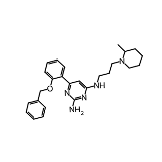 CC1CCCCN1CCCNc1cc(-c2c[c]ccc2OCc2ccccc2)nc(N)n1